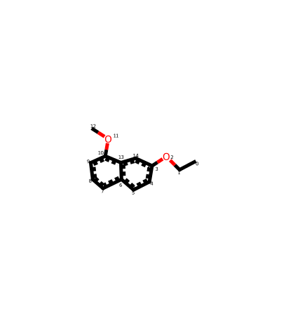 CCOc1ccc2cccc(OC)c2c1